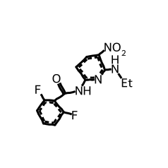 CCNc1nc(NC(=O)c2c(F)cccc2F)ccc1[N+](=O)[O-]